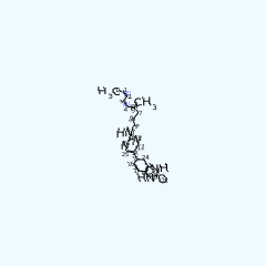 C/C=C\C=C/[C@H](C)CCCNc1ncc(C2C=Cc3[nH]c(=O)[nH]c3C2)cn1